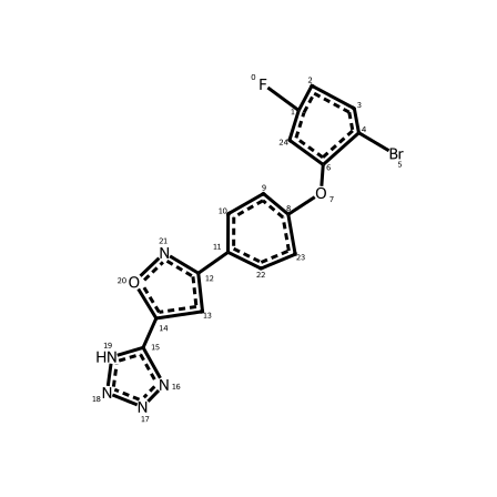 Fc1ccc(Br)c(Oc2ccc(-c3cc(-c4nnn[nH]4)on3)cc2)c1